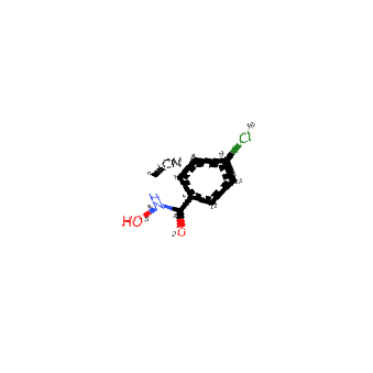 CC#N.O=C(NO)c1ccc(Cl)cc1